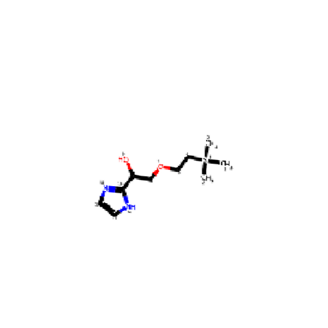 C[Si](C)(C)CCOCC(O)c1ncc[nH]1